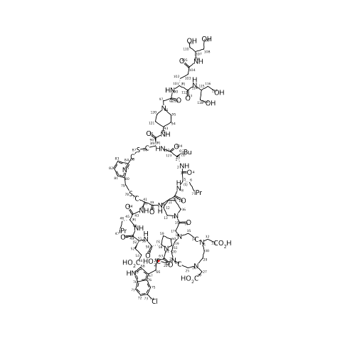 CC[C@H](C)[C@@H]1NC(=O)[C@H](CC(C)C)NC(=O)C2(CCN(C(=O)CN3CCN(CC(=O)O)CCN(CC(=O)O)CCN(CC(=O)O)CC3)CC2)NC(=O)[C@@H](NC(=O)[C@@H](CC(C)C)NC(=O)[C@H](CCC(=O)O)NC(=O)[C@@H]2CCCN2C(=O)CCc2c[nH]c3ccc(Cl)cc23)CSCc2cccc(n2)CSC[C@@H](C(=O)NC2CCN(CC(=O)N[C@H](CCC(=O)NC(CO)CO)C(=O)NC(CO)CO)CC2)NC1=O